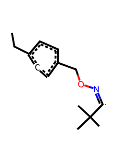 CCc1ccc(CO/N=[C]\C(C)(C)C)cc1